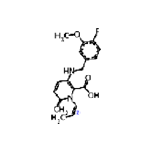 C=C1C=CC(NCc2ccc(F)c(OC)c2)=C(C(=O)O)N1/C=C\C